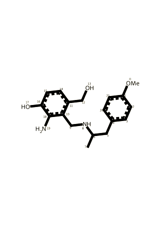 COc1ccc(CC(C)NCc2c(CO)ccc(O)c2N)cc1